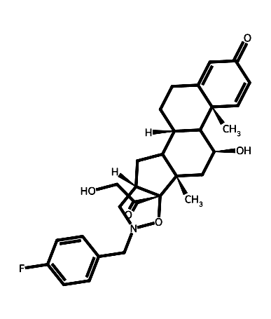 C[C@]12C=CC(=O)C=C1CC[C@@H]1C2[C@@H](O)C[C@@]2(C)C1C[C@H]1CN(Cc3ccc(F)cc3)O[C@]12C(=O)CO